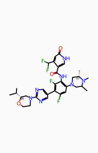 CC(C)[C@@H]1CN(c2ncc(-c3c(F)cc(N4CC(C)N(C)[C@@H](C)C4)c(NC(=O)c4c[nH]c(=O)cc4C(F)F)c3F)cn2)CCO1